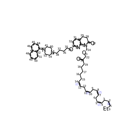 CC/C=C\C/C=C\C/C=C\C/C=C\C/C=C\CCCCCC(=O)COCN1C(=O)CCc2ccc(OCCCCN3CCN(c4cccc5ccccc45)CC3)nc21